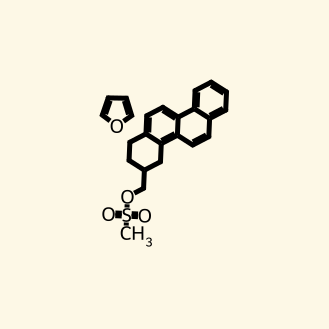 CS(=O)(=O)OCC1CCc2ccc3c(ccc4ccccc43)c2C1.c1ccoc1